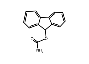 NC(=O)OC1c2ccccc2-c2ccccc21